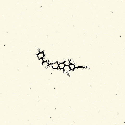 CC#Cc1cc(C)c(C2C(=O)CC3(CCN(C(=O)NC(=O)c4ccc(Cl)cn4)CC3)CC2=O)c(C)c1